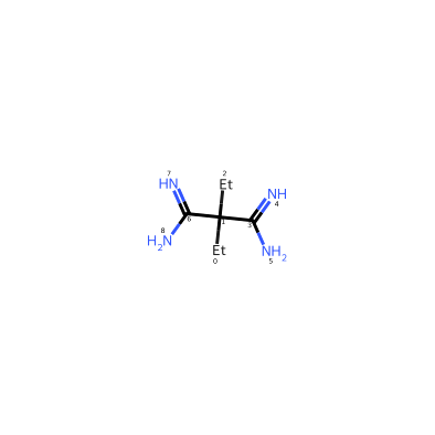 CCC(CC)(C(=N)N)C(=N)N